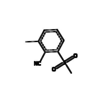 Cc1cccc(S(C)(=O)=O)c1C#N